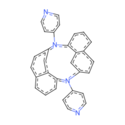 c1cc2ccc3cc2c(c1)n(-c1ccncc1)c1ccc2cccc(c2c1)n3-c1ccncc1